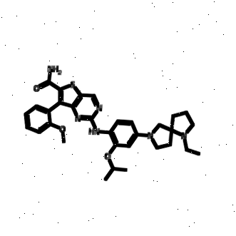 CCN1CCCC12CCN(c1ccc(Nc3ncc4sc(C(N)=O)c(-c5ccccc5OC)c4n3)c(OC(C)C)c1)C2